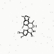 CC(C)c1c(N2c3nc(Cl)c(F)cc3C(=O)NC2O)c(F)cc2c1ncn2C